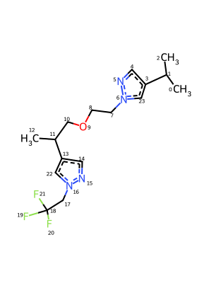 CC(C)c1cnn(CCOCC(C)c2cnn(CC(F)(F)F)c2)c1